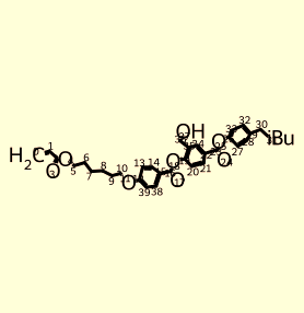 C=CC(=O)OCCCCCCOc1ccc(C(=O)Oc2ccc(C(=O)Oc3ccc(CC(C)CC)cc3)cc2CO)cc1